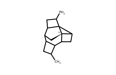 CC1CC2C3C[C@]45C(CC4C54C(P)CC34)C12